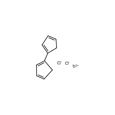 C1=CCC(C2=CC=CC2)=C1.[Cl-].[Cl-].[Ti+2]